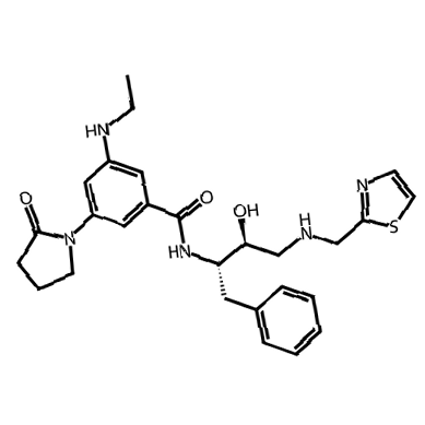 CCNc1cc(C(=O)N[C@@H](Cc2ccccc2)[C@@H](O)CNCc2nccs2)cc(N2CCCC2=O)c1